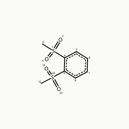 CS(=O)(=O)c1[c]cccc1S(C)(=O)=O